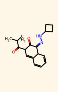 CC(C)C(=O)C1C=C2C=CC=CC2/C(=N/NC2CCC2)C1=O